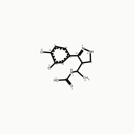 CC(NC(=O)O)C1CNN=C1c1ccc(Cl)c(Cl)c1